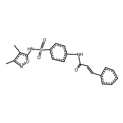 Cc1noc(NS(=O)(=O)c2ccc(NC(=O)/C=C/c3ccccc3)cc2)c1C